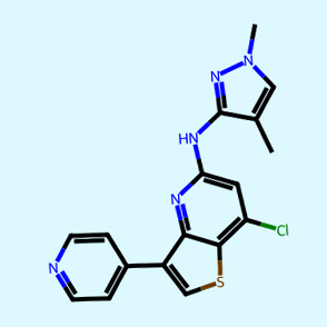 Cc1cn(C)nc1Nc1cc(Cl)c2scc(-c3ccncc3)c2n1